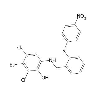 CCc1c(Cl)cc(NCc2ccccc2Sc2ccc([N+](=O)[O-])cc2)c(O)c1Cl